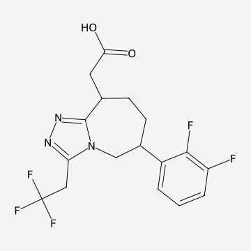 O=C(O)CC1CCC(c2cccc(F)c2F)Cn2c(CC(F)(F)F)nnc21